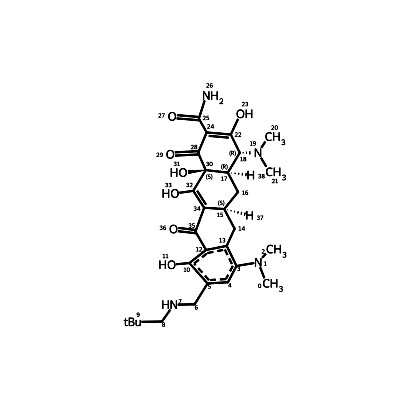 CN(C)c1cc(CNCC(C)(C)C)c(O)c2c1C[C@@H]1C[C@@H]3[C@@H](N(C)C)C(O)=C(C(N)=O)C(=O)[C@@]3(O)C(O)=C1C2=O